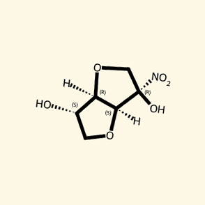 O=[N+]([O-])[C@@]1(O)CO[C@@H]2[C@@H](O)CO[C@@H]21